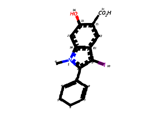 Cn1c(C2=CCCC=C2)c(I)c2cc(C(=O)O)c(O)cc21